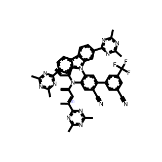 C=CC(=C)N(C(=C)/C=C(\C)c1nc(C)nc(C)n1)c1cc(C#N)c(-c2cc(C#N)cc(C(F)(F)F)c2)cc1-n1c2cc(-c3nc(C)nc(C)n3)ccc2c2ccc(-c3nc(C)nc(C)n3)cc21